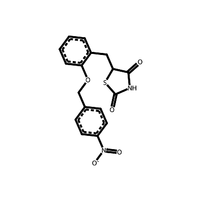 O=C1NC(=O)C(Cc2ccccc2OCc2ccc([N+](=O)[O-])cc2)S1